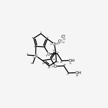 C[Si]1(C)C2=CC[C](=C2OCCO)[Zr+2][C]2=C(OCCO)C1=CC2.[Cl-].[Cl-]